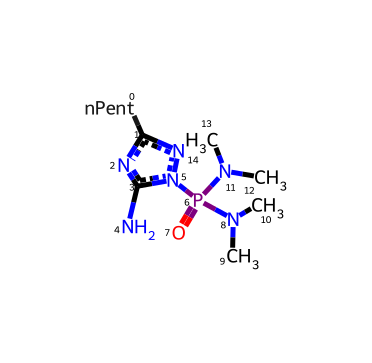 CCCCCc1nc(N)n(P(=O)(N(C)C)N(C)C)n1